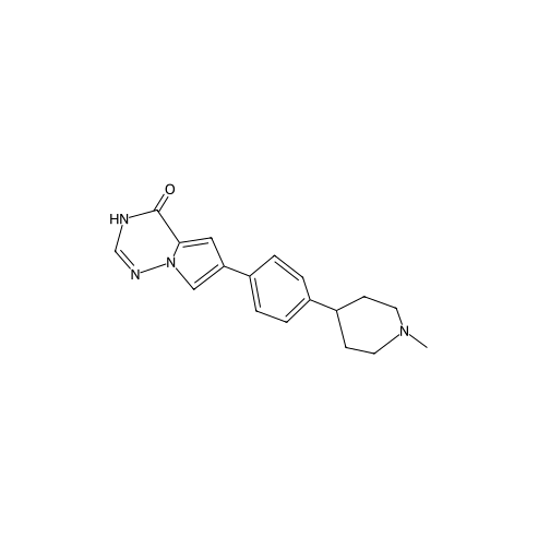 CN1CCC(c2ccc(-c3cc4c(=O)[nH]cnn4c3)cc2)CC1